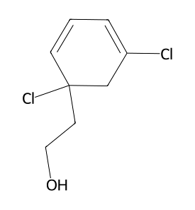 OCCC1(Cl)C=CC=C(Cl)C1